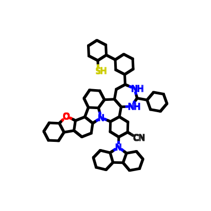 N#CC1CC2C3NC(C4CCCCC4)NC(C4CCCC(C5CCCCC5S)C4)CC3C3CCCC4C5C6OC7CCCCC7C6CCC5N(C2CC1N1C2CCCCC2C2CCCCC21)C34